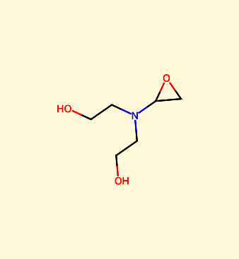 OCCN(CCO)C1CO1